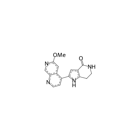 COc1cc2c(-c3cc4c([nH]3)CCNC4=O)ccnc2cn1